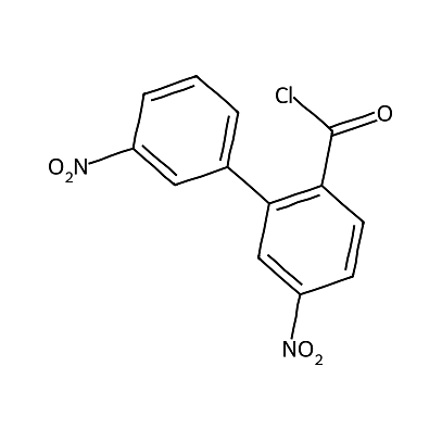 O=C(Cl)c1ccc([N+](=O)[O-])cc1-c1cccc([N+](=O)[O-])c1